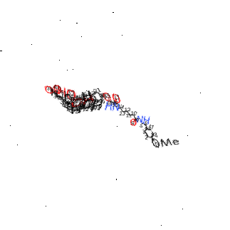 COc1ccc(CCNC(=O)CCCCCNC(=O)CO[C@H]2CC[C@@]3(C)[C@H](CC[C@@H]4[C@@H]3C[C@@H](O)[C@]3(C)[C@@H](C5=CC(=O)OC5)CC[C@]43O)C2)cc1